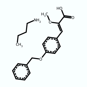 CCCCN.CO/C(=C\c1ccc(OCc2ccccc2)cc1)C(=O)O